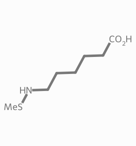 CSNCCCCCC(=O)O